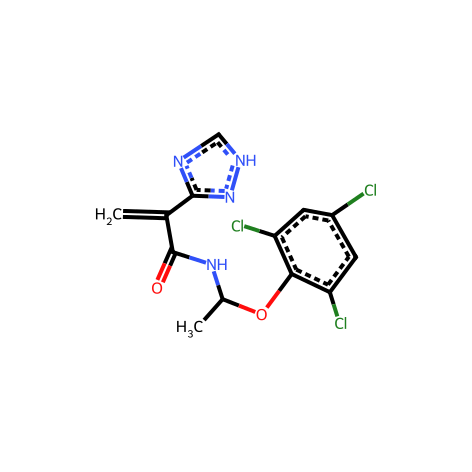 C=C(C(=O)NC(C)Oc1c(Cl)cc(Cl)cc1Cl)c1nc[nH]n1